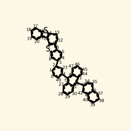 c1cc(-c2ccc3c(c2)sc2c3ccc3sc4ccccc4c32)cc(-c2c3ccccc3c(-c3ccc4ccccc4c3)c3ccccc23)c1